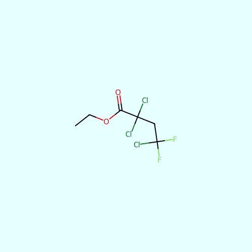 CCOC(=O)C(Cl)(Cl)CC(F)(F)Cl